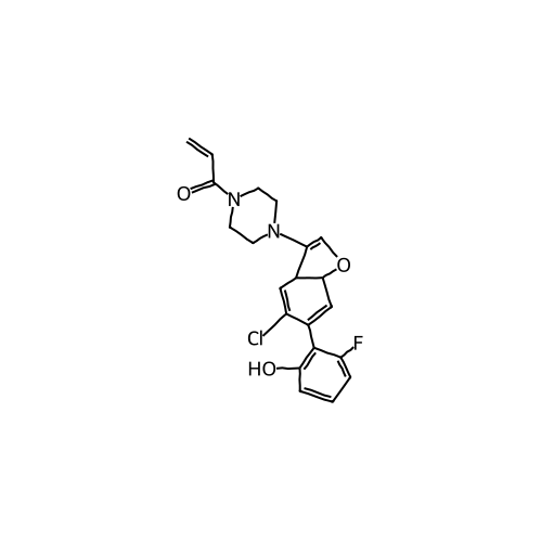 C=CC(=O)N1CCN(C2=COC3C=C(c4c(O)cccc4F)C(Cl)=CC23)CC1